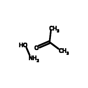 CC(C)=O.NO